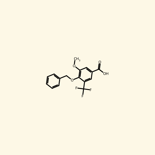 COc1cc(C(=O)O)cc(C(F)(F)F)c1OCc1ccccc1